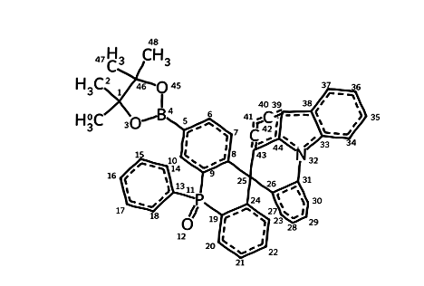 CC1(C)OB(c2ccc3c(c2)P(=O)(c2ccccc2)c2ccccc2C32c3ccccc3-n3c4ccccc4c4cccc2c43)OC1(C)C